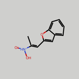 C/C(=C\c1cc2ccccc2o1)[NH+]([O-])O